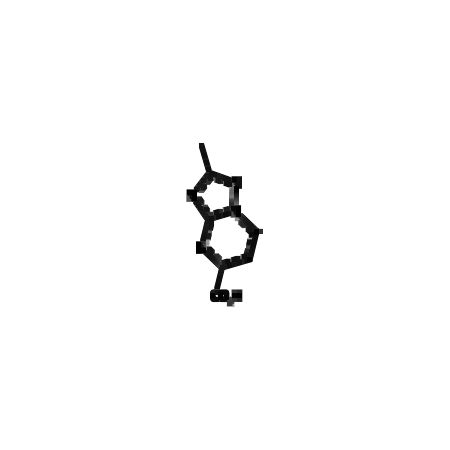 Cc1nc2nc(C(=O)O)c[c]n2n1